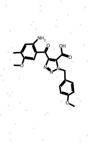 COc1ccc(Cn2nnc(C(=O)c3cc(OC)c(C)cc3N)c2C(=O)O)cc1